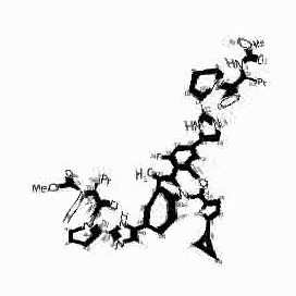 COC(=O)N[C@H](C(=O)N1CCC[C@H]1c1ncc(-c2cc(F)c3c(c2)OC(c2ccc(C4CC4)s2)n2c-3c(C)c3cc(-c4cnc([C@@H]5CCCN5C(=O)[C@@H](NC(=O)OC)C(C)C)[nH]4)ccc32)[nH]1)C(C)C